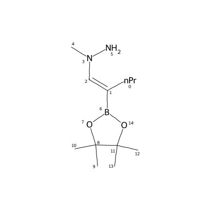 CCC/C(=C\N(C)N)B1OC(C)(C)C(C)(C)O1